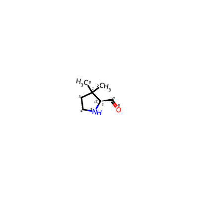 CC1(C)CCN[C@@H]1[C]=O